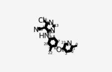 Cc1ccc(Oc2ccc(Nc3ncnc(Cl)c3C#N)cc2C)cn1